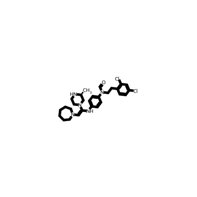 C[C@H]1CN(/C(=C\N2CCCCCC2)Nc2ccc(N(C=O)CCc3ccc(Cl)cc3Cl)cc2)CCN1